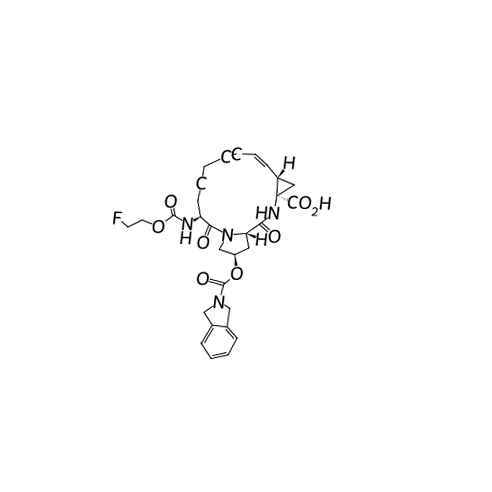 O=C(N[C@H]1CCCCC/C=C\[C@@H]2C[C@@]2(C(=O)O)NC(=O)[C@@H]2C[C@@H](OC(=O)N3Cc4ccccc4C3)CN2C1=O)OCCF